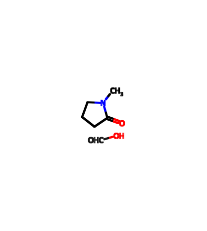 CN1CCCC1=O.O=CO